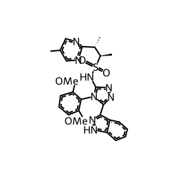 COc1cccc(OC)c1-n1c(NS(=O)(=O)[C@H](C)[C@@H](C)c2ncc(C)cn2)nnc1-c1n[nH]c2ccccc12